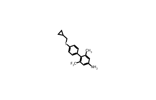 Cc1cc(N)cc(C(F)(F)F)c1-c1ccc(SCC2CC2)cc1